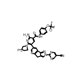 N#Cc1cnc(-n2cc3c(n2)-c2cc(-c4cc(C(=O)Nc5ccc(OC(F)(F)Cl)cc5)c(N)nc4N4CC[C@@H](F)C4)cnc2C3)nc1